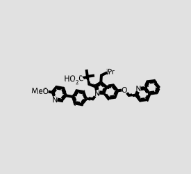 COc1ccc(-c2ccc(Cn3c(CC(C)(C)C(=O)O)c(CC(C)C)c4cc(OCc5ccc6ccccc6n5)ccc43)cc2)cn1